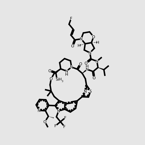 CO[C@@H](C)c1ncccc1-c1c2c3cc(ccc3n1CC(F)(F)F)-c1csc(n1)C[C@H](NC(=O)[C@H](C(C)C)N(C)C(=O)N1C[C@@H]3OCCN(C(=O)/C=C/CF)[C@@H]3C1)C(=O)N1CCC[C@@](C(=O)[SiH3])(COCC(C)(C)C2)N1